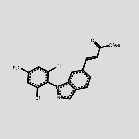 COC(=O)C=Cc1ccc2cnn(-c3c(Cl)cc(C(F)(F)F)cc3Cl)c2c1